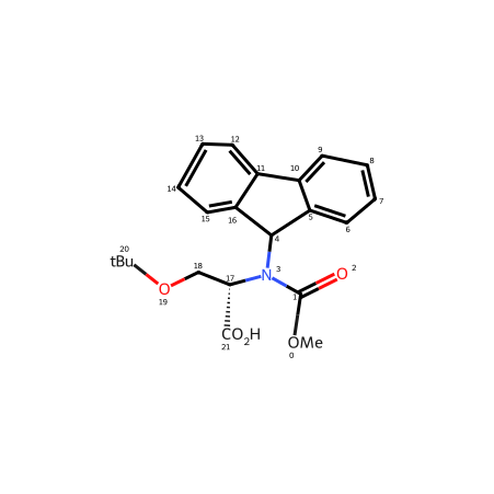 COC(=O)N(C1c2ccccc2-c2ccccc21)[C@@H](COC(C)(C)C)C(=O)O